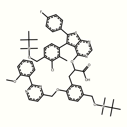 COc1ccccc1-c1nccc(COc2ccc(CO[Si](C)(C)C(C)(C)C)cc2CC(Oc2ncnc3sc(-c4ccc(F)cc4)c(-c4ccc(CO[Si](C)(C)C(C)(C)C)c(Cl)c4C)c23)C(=O)O)n1